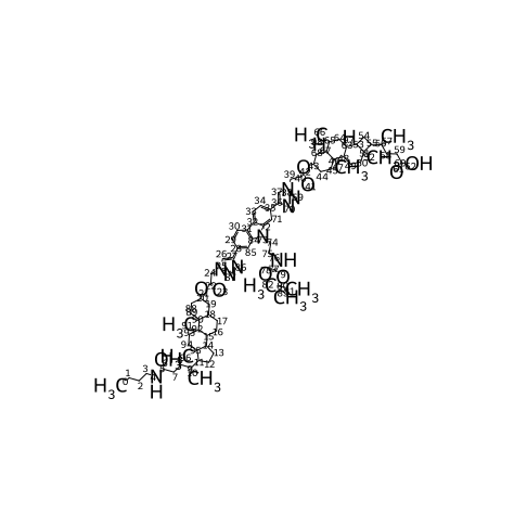 CCCCNC(O)CC[C@@H](C)C1CCC2C3CCC4CC(OC(=O)Cn5cc(-c6ccc7c8ccc(-c9cn(CC(=O)OC%10CCC%11(C)C%12CCC%13(C)C(CC%13[C@H](C)CCC(=O)O)[C@@H]%12C[C@H](C)[C@@H]%11C%10)nn9)cc8n(CCNC(=O)OC(C)(C)C)c7c6)nn5)CCC4(C)C3CCC21C